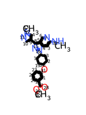 CNc1cc2c(cn1)c(-c1cnn(C)c1)nn2[C@H]1CC[C@@H](Oc2cccc(C(=O)OC)c2)CC1